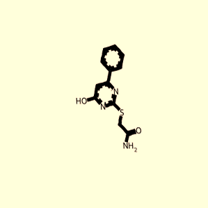 NC(=O)CSc1nc(O)cc(-c2ccccc2)n1